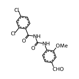 COc1cc(C=O)ccc1NC(=O)NC(=O)c1ccc(Cl)cc1Cl